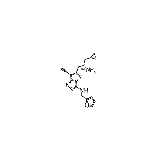 C#Cc1c(C[C@@H](N)CC2CC2)sc2c(NCc3ccco3)snc12